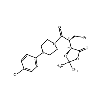 CC(C)C[C@H](C(=O)N1CCN(c2ccc(Cl)cn2)CC1)[C@@H]1OC(C)(C)OC1=O